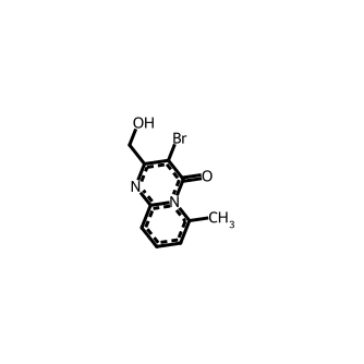 Cc1cccc2nc(CO)c(Br)c(=O)n12